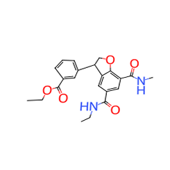 CCNC(=O)c1cc(C(=O)NC)c2c(c1)C(c1cccc(C(=O)OCC)c1)CO2